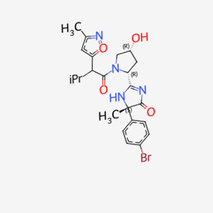 Cc1cc(C(C(=O)N2C[C@H](O)C[C@@H]2C2=NC(=O)[C@](C)(c3ccc(Br)cc3)N2)C(C)C)on1